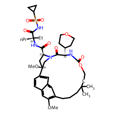 CCC[C@@](CC)(NC(=O)[C@@H]1C[C@]2(OC)CN1C(=O)[C@H](C1CCOCC1)NC(=O)OCCC(C)(C)CCCc1cc3cc2ccc3cc1OC)C(=O)NS(=O)(=O)C1CC1